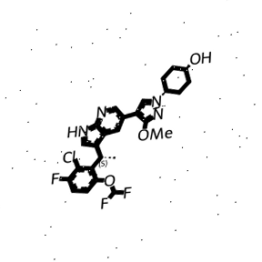 COc1nn([C@H]2CC[C@H](O)CC2)cc1-c1cnc2[nH]cc([C@H](C)c3c(OC(F)F)ccc(F)c3Cl)c2c1